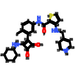 Cc1ccc(NC(=O)c2sccc2NCc2ccncc2)cc1-c1c(NC2CCCCC2)c(=O)c1=O